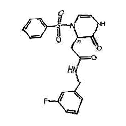 O=C(C[C@@H]1C(=O)NC=CN1S(=O)(=O)c1ccccc1)NCc1cccc(F)c1